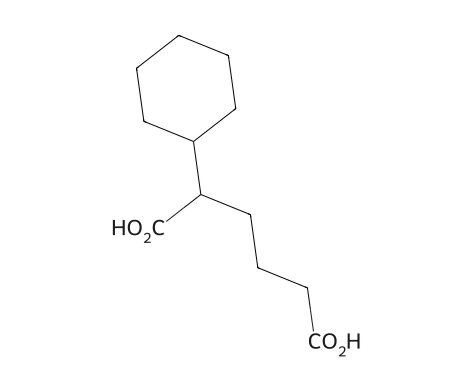 O=C(O)CCCC(C(=O)O)C1CCCCC1